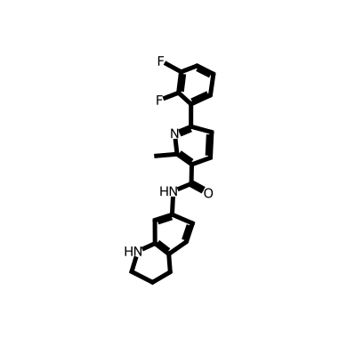 Cc1nc(-c2cccc(F)c2F)ccc1C(=O)Nc1ccc2c(c1)NCCC2